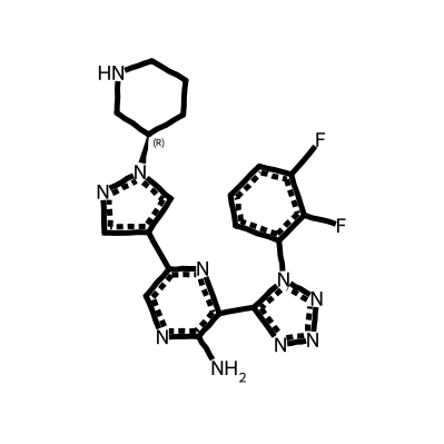 Nc1ncc(-c2cnn([C@@H]3CCCNC3)c2)nc1-c1nnnn1-c1cccc(F)c1F